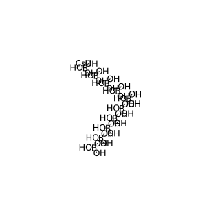 OB(O)O.OB(O)O.OB(O)O.OB(O)O.OB(O)O.OB(O)O.OB(O)O.OB(O)O.OB(O)O.OB(O)O.[CsH]